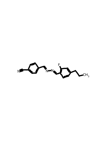 CCCc1ccc(C=NN=Cc2ccc(C#N)cc2)c(F)c1